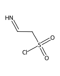 N=CCS(=O)(=O)Cl